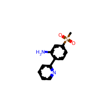 CS(=O)(=O)c1ccc(-c2ccccn2)c(N)c1